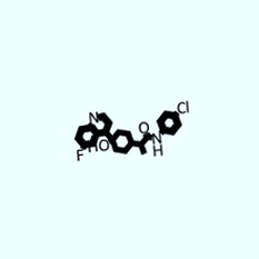 CC(C(=O)Nc1ccc(Cl)cc1)C1CCC(O)(c2ccnc3ccc(F)cc23)CC1